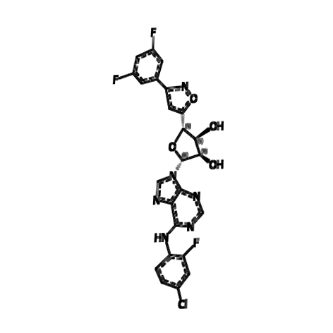 O[C@@H]1[C@H](O)[C@@H](c2cc(-c3cc(F)cc(F)c3)no2)O[C@H]1n1cnc2c(Nc3ccc(Cl)cc3F)ncnc21